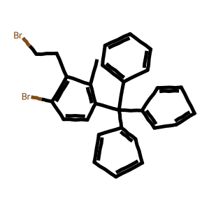 Cc1c(C(c2ccccc2)(c2ccccc2)c2ccccc2)ccc(Br)c1CCBr